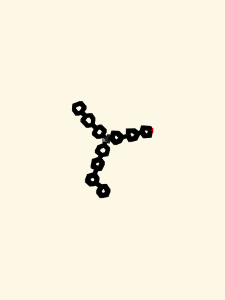 c1ccc(-c2ccc(-c3ccc(N(C4CCC(c5ccc(-c6cccc(-c7ccccc7)c6)cc5)CC4)C4CCC(C5CCC(C6CCCCC6)CC5)CC4)cc3)cc2)cc1